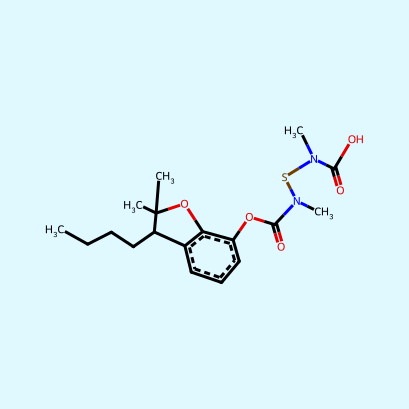 CCCCC1c2cccc(OC(=O)N(C)SN(C)C(=O)O)c2OC1(C)C